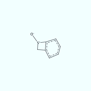 [O-][S+]1Cc2ccccc21